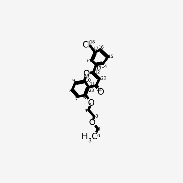 CCOCCOc1cccc2oc(-c3cccc(Cl)c3)cc(=O)c12